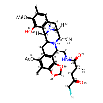 COc1c(C)cc2c(c1O)[C@H]1C3Cc4c(OC(C)=O)c(C)c5c(c4[C@H](CNC(=O)[C@H](C)CC(=O)CF)N3[C@@H](C#N)[C@H](C2)N1C)OCO5